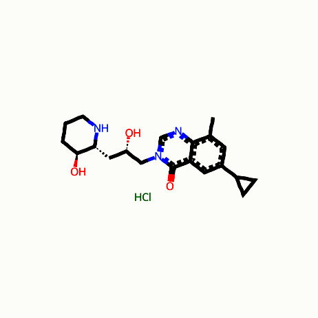 Cc1cc(C2CC2)cc2c(=O)n(C[C@@H](O)C[C@H]3NCCC[C@@H]3O)cnc12.Cl